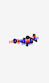 CC(C)C[C@@H](/C=C/[C@H](Cc1ccccc1)C(=O)N1CCC[C@H]1C(=O)N[C@H](C(=O)N[C@@H](CCCNC(=O)OC1CC(C)(C)N(O)C(C)(C)C1)C(=O)NC(C)C)C(C)C)NC(=O)OC(C)(C)C